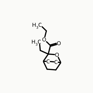 CCOC(=O)C1(CC)OC2CCC1CC2